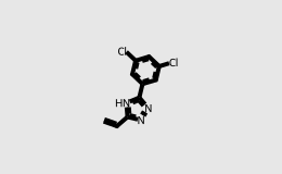 C=Cc1nnc(-c2cc(Cl)cc(Cl)c2)[nH]1